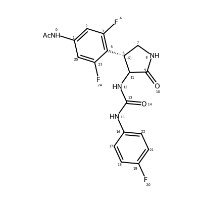 CC(=O)Nc1cc(F)c([C@@H]2CNC(=O)C2NC(=O)Nc2ccc(F)cc2)c(F)c1